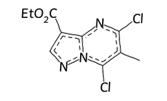 CCOC(=O)c1cnn2c(Cl)c(C)c(Cl)nc12